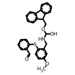 COc1ccc(Sc2ccccc2C=O)c(CNC(O)OCC2c3ccccc3-c3ccccc32)c1